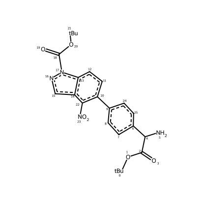 CC(C)(C)OC(=O)C(N)c1ccc(-c2ccc3c(cnn3C(=O)OC(C)(C)C)c2[N+](=O)[O-])cc1